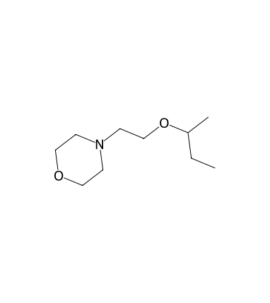 CCC(C)OCCN1CCOCC1